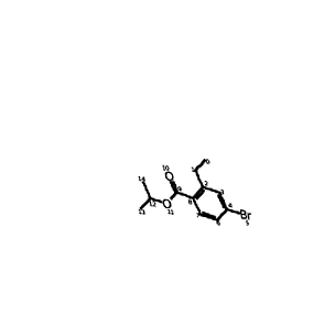 CCc1cc(Br)ccc1C(=O)OC(C)C